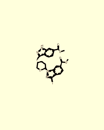 COC(=O)c1ccc2c(I)n[nH]c2c1.COC(=O)c1ccc2c(I)nn(C3CCCCO3)c2c1